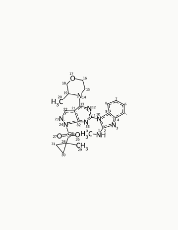 CNc1nc2ccccc2n1-c1nc(N2CCOCC2C)c2cnn(S(=O)(=O)C3(C)CC3)c2n1